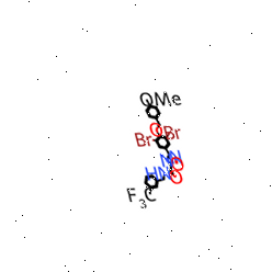 COc1ccc(COc2c(Br)cc(-c3noc(C(=O)NCc4cccc(C(F)(F)F)c4)n3)cc2Br)cc1